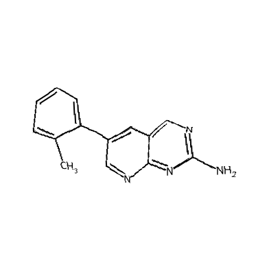 Cc1ccccc1-c1cnc2nc(N)ncc2c1